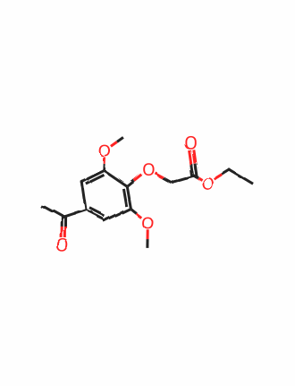 CCOC(=O)COc1c(OC)cc(C(C)=O)cc1OC